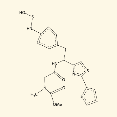 COC(=O)N(C)CC(=O)NC(Cc1ccc(NSO)cc1)c1csc(-c2cccs2)n1